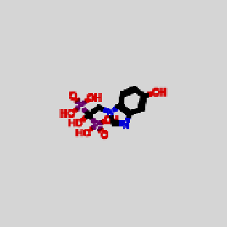 O=P(O)(O)C(O)(Cn1cnc2cc(O)ccc21)P(=O)(O)O